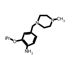 CC(C)Oc1cc(CN2CCN(C)CC2)ccc1N